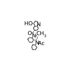 CC(=O)N(c1ccccc1)[C@@H]1C[C@H](C)N(C(=O)c2ccc3nccc(O)c3c2)c2ccccc21